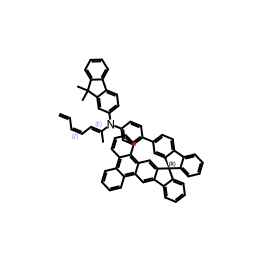 C=C/C=C\C=C(/C)N(c1ccc(-c2ccc3c(c2)[C@@]2(c4ccccc4-3)c3ccccc3-c3cc4c5ccccc5c5ccccc5c4cc32)cc1)c1ccc2c(c1)C(C)(C)c1ccccc1-2